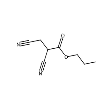 CCCOC(=O)C(C#N)CC#N